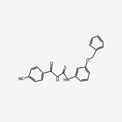 N#Cc1ccc(C(=O)NC(=S)Nc2cccc(OCc3ccccc3)c2)cc1